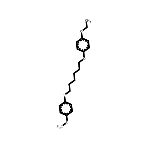 CCOc1ccc(OCCCCCCSc2ccc(OC)cc2)cc1